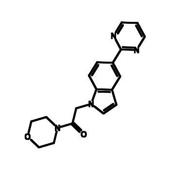 O=C(Cn1ccc2cc(-c3ncccn3)ccc21)N1CCOCC1